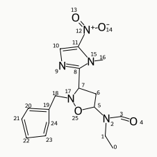 CCN(C=O)C1CC(c2ncc([N+](=O)[O-])n2C)N(Cc2ccccc2)O1